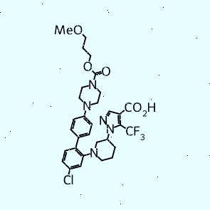 COCCCOC(=O)N1CCN(c2ccc(-c3ccc(Cl)cc3N3CCCC(n4ncc(C(=O)O)c4C(F)(F)F)C3)cc2)CC1